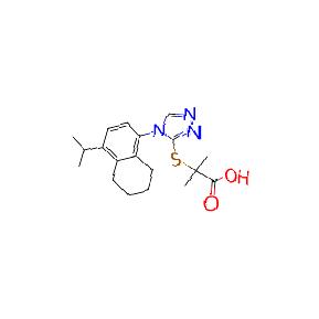 CC(C)c1ccc(-n2cnnc2SC(C)(C)C(=O)O)c2c1CCCC2